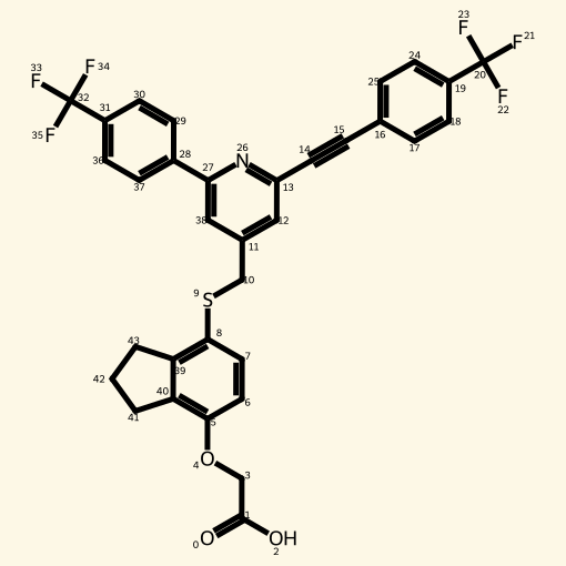 O=C(O)COc1ccc(SCc2cc(C#Cc3ccc(C(F)(F)F)cc3)nc(-c3ccc(C(F)(F)F)cc3)c2)c2c1CCC2